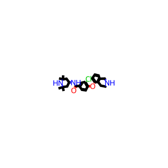 CC1(C)CC(NC(=O)c2ccc(Oc3cccc4c3CCNC4)c(Cl)c2)CC(C)(C)N1